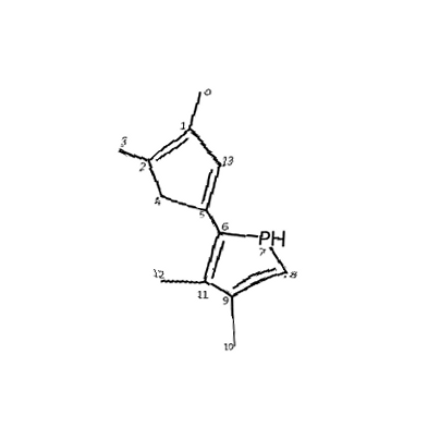 CC1=C(C)CC(c2[pH][c]c(C)c2C)=C1